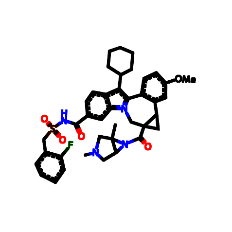 COc1ccc2c(c1)C1CC1(C(=O)N1C3CN(C)CC31C)Cn1c-2c(C2CCCCC2)c2ccc(C(=O)NS(=O)(=O)Cc3ccccc3F)cc21